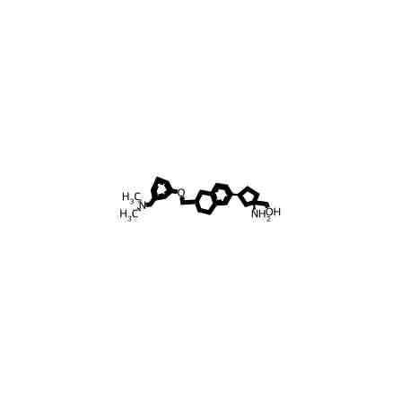 CN(C)Cc1cccc(OCC2CCc3cc([C@H]4CC[C@](N)(CO)C4)ccc3C2)c1